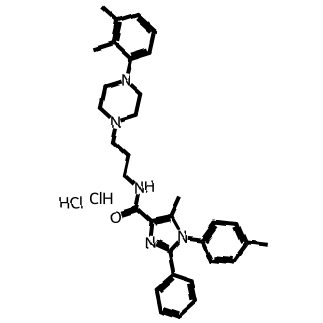 Cc1ccc(-n2c(-c3ccccc3)nc(C(=O)NCCCN3CCN(c4cccc(C)c4C)CC3)c2C)cc1.Cl.Cl